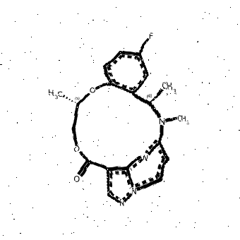 C[C@@H]1c2cc(F)ccc2O[C@@H](C)COC(=O)c2cnn3ccc(nc23)N1C